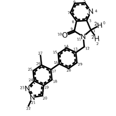 [2H]C1([2H])c2ncccc2C(=O)N1Cc1ccc(-c2cc3cn(C)nc3cc2C)cc1